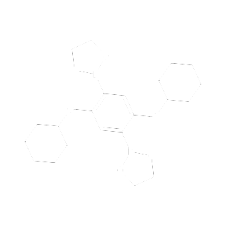 c1c(OC2CCCCC2)c(B2OCCO2)cc(OC2CCCCC2)c1B1OCCO1